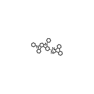 c1ccc(-n2c3ccccc3c3c4c5ccc(-c6ncc7c8ccccc8c8ccccc8c7n6)cc5n(-c5ccccc5)c4ccc32)cc1